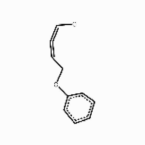 ClC=C=CCOc1ccccc1